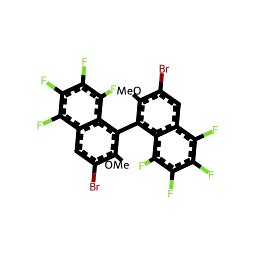 COc1c(Br)cc2c(F)c(F)c(F)c(F)c2c1-c1c(OC)c(Br)cc2c(F)c(F)c(F)c(F)c12